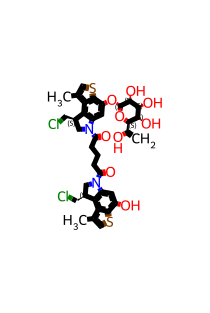 C=C(O)[C@H]1O[C@@H](Oc2cc3c(c4c(C)csc24)[C@H](CCl)CN3C(=O)CCCC(=O)N2C[C@@H](CCl)c3c2cc(O)c2scc(C)c32)[C@H](O)[C@@H](O)[C@@H]1O